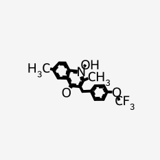 Cc1ccc2c(c1)c(=O)c(Cc1ccc(OC(F)(F)F)cc1)c(C)n2O